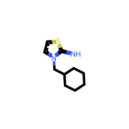 N=c1sccn1CC1CCCCC1